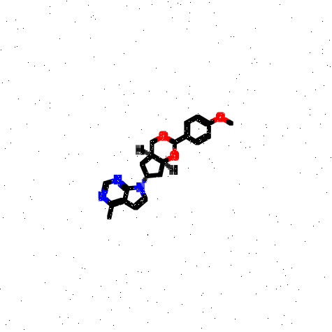 COc1ccc(C2OC[C@@H]3C[C@@H](n4ccc5c(C)ncnc54)C[C@@H]3O2)cc1